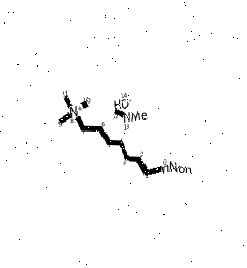 CCCCCCCCCCCCCCCC[N+](C)(C)C.CNC.[OH-]